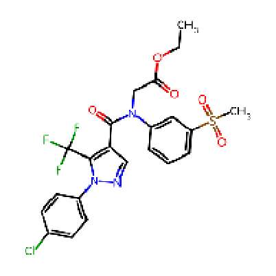 CCOC(=O)CN(C(=O)c1cnn(-c2ccc(Cl)cc2)c1C(F)(F)F)c1cccc(S(C)(=O)=O)c1